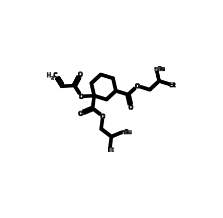 C=CC(=O)OC1(C(=O)OCC(CC)CCCC)CCCC(C(=O)OCC(CC)CCCC)C1